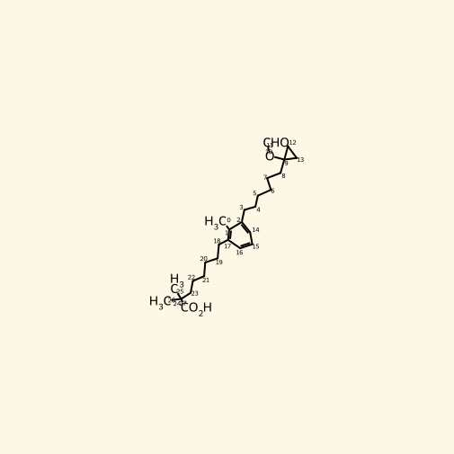 Cc1c(CCCCCCC2(OC=O)CC2)cccc1CCCCCCC(C)(C)C(=O)O